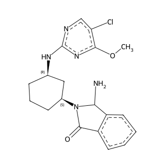 COc1nc(N[C@@H]2CCC[C@H](N3C(=O)c4ccccc4C3N)C2)ncc1Cl